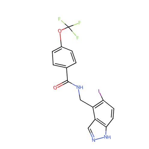 O=C(NCc1c(I)ccc2[nH]ncc12)c1ccc(OC(F)(F)F)cc1